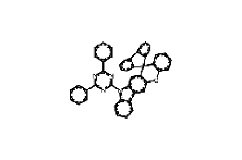 c1ccc(-c2nc(-c3ccccc3)nc(-n3c4ccccc4c4cc5c(cc43)C3(c4ccccc4O5)c4ccccc4-c4ccccc43)n2)cc1